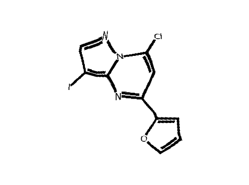 Clc1cc(-c2ccco2)nc2c(I)cnn12